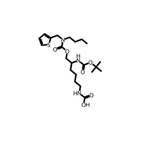 CCCCN(Cc1cccs1)C(=O)OCC(CCCCNC(=O)O)NC(=O)OC(C)(C)C